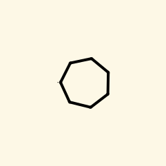 [CH]1CCCCCC1